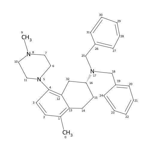 Cc1ccc(N2CCN(C)CC2)c2c1CC[C@@H](N(Cc1ccccc1)Cc1ccccc1)C2